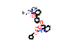 CN(C)CC1CCCCC1(O)c1cccc(OC(=O)CC2(CNC(=O)OCc3ccccc3)CCCCC2)c1